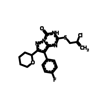 C=C(Cl)CSc1nc2c(-c3ccc(F)cc3)c(C3CCCCO3)nn2c(=O)[nH]1